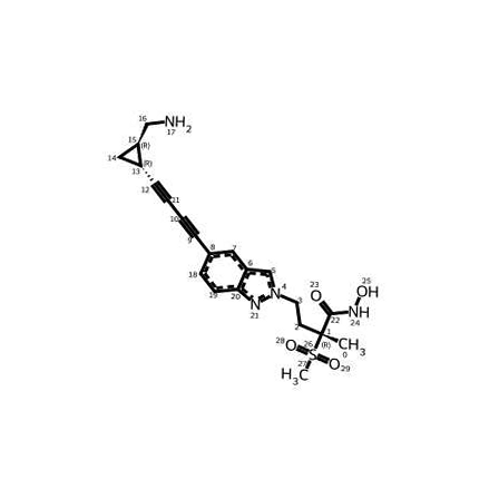 C[C@@](CCn1cc2cc(C#CC#C[C@@H]3C[C@H]3CN)ccc2n1)(C(=O)NO)S(C)(=O)=O